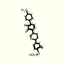 CCCCCCCCOc1ccc(C2CCC(c3ccc(C4CCC(C)CC4)c(F)c3F)CO2)cc1F